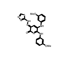 COc1cccc(NC2=CC(=NNc3nncs3)C(=O)N=C2Nc2cccc(OC)c2)c1